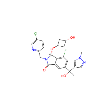 Cn1cc(C(C)(O)c2cc(F)c3c(c2)C(=O)N(Cc2ccc(Cl)cn2)[C@@H]3O[C@H]2C[C@H](O)C2)cn1